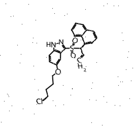 C=CC(c1cccc2ccccc12)S(=O)(=O)c1n[nH]c2ccc(OCCCCCl)cc12